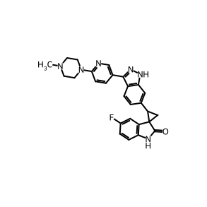 CN1CCN(c2ccc(-c3n[nH]c4cc(C5CC56C(=O)Nc5ccc(F)cc56)ccc34)cn2)CC1